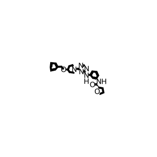 O=C(Nc1cccc(Nc2ncnc(N3CCC(OCc4ccccc4)CC3)n2)c1)[C@H]1CCCO1